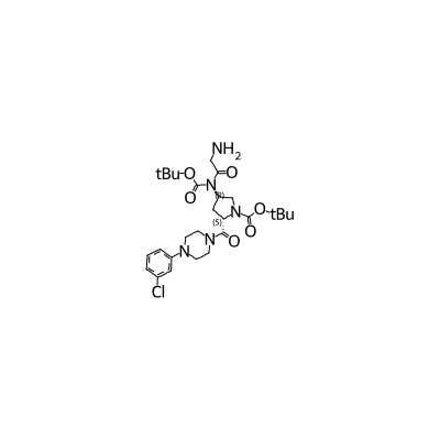 CC(C)(C)OC(=O)N1C[C@H](N(C(=O)CN)C(=O)OC(C)(C)C)C[C@H]1C(=O)N1CCN(c2cccc(Cl)c2)CC1